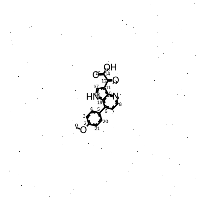 COc1ccc(-c2ccnc3c(C(=O)C(=O)O)c[nH]c23)cc1